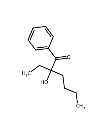 CCCCC(O)(CC)C(=O)c1ccccc1